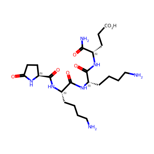 NCCCC[C@H](NC(=O)[C@H](CCCCN)NC(=O)[C@@H]1CCC(=O)N1)C(=O)N[C@@H](CCC(=O)O)C(N)=O